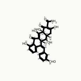 NC(=O)C1=C(O)C[C@@H]2[C@@H](O)[C@H]3C(=C(O)[C@]2(O)C1=O)C(=O)c1c(O)cccc1/C3=C\c1cccc(C=O)c1